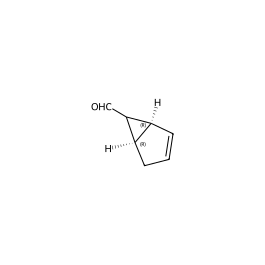 O=CC1[C@H]2C=CC[C@@H]12